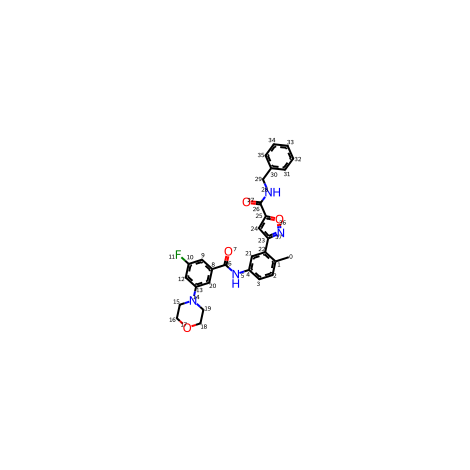 Cc1ccc(NC(=O)c2cc(F)cc(N3CCOCC3)c2)cc1-c1cc(C(=O)NCc2ccccc2)on1